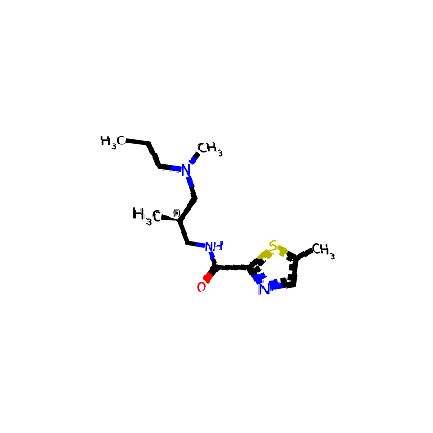 CCCN(C)C[C@H](C)CNC(=O)c1ncc(C)s1